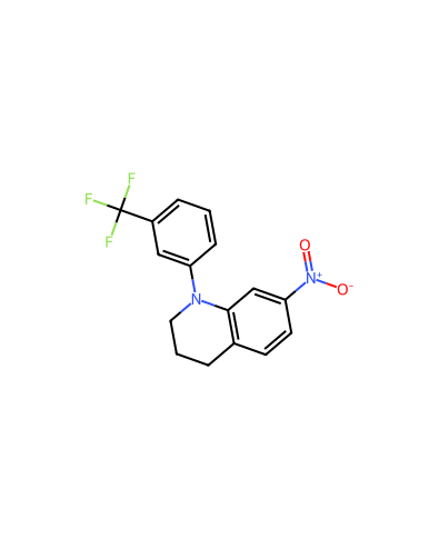 O=[N+]([O-])c1ccc2c(c1)N(c1cccc(C(F)(F)F)c1)CCC2